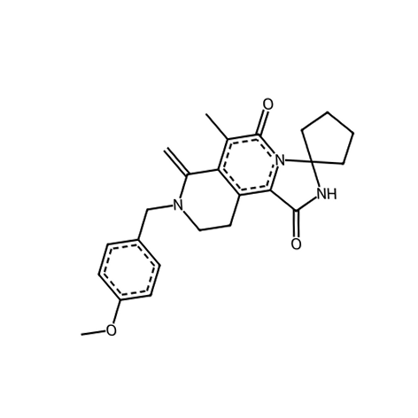 C=C1c2c(c3n(c(=O)c2C)C2(CCCC2)NC3=O)CCN1Cc1ccc(OC)cc1